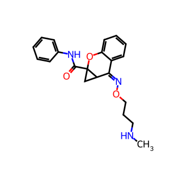 CNCCCON=C1c2ccccc2OC2(C(=O)Nc3ccccc3)CC12